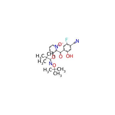 CC(C)(C)O/N=C(\Oc1ccc[n+]([O-])c1C(=O)c1cc(F)c(C#N)cc1O)C(C)(C)C